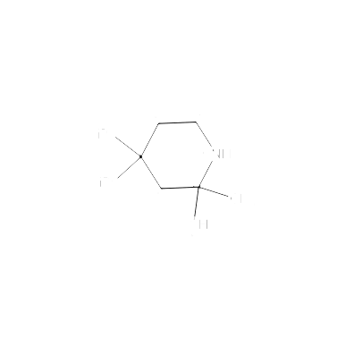 CC(C)C1(C(C)C)CCNC(C)(C)C1